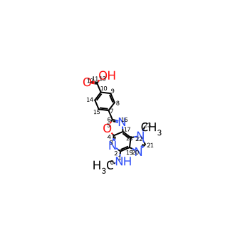 CNc1nc2oc(-c3ccc(C(=O)O)cc3)nc2c2c1ncn2C